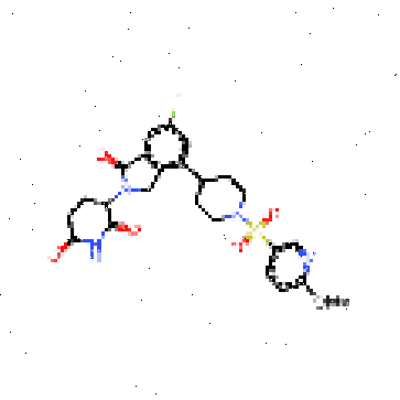 COc1ccc(S(=O)(=O)N2CCC(c3cc(F)cc4c3CN(C3CCC(=O)NC3=O)C4=O)CC2)cn1